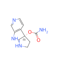 NC(=O)O[C@]1(c2ccncc2N)CCNC1